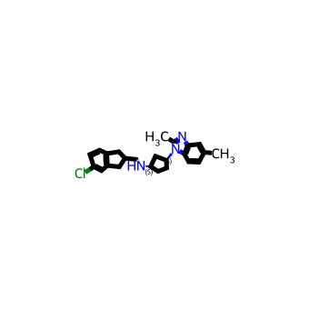 Cc1ccc2c(c1)nc(C)n2[C@H]1CC[C@H](NCC2Cc3ccc(Cl)cc3C2)C1